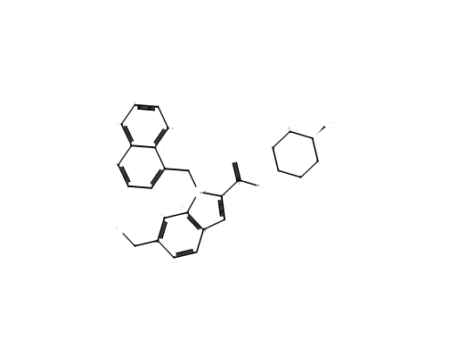 NCc1ccc2cc(C(=O)N[C@H]3CC[C@H](N)CC3)n(Cc3cccc4ccccc34)c2c1